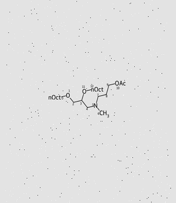 CCCCCCCCOCC(CN(C)CCCOC(C)=O)OCCCCCCCC